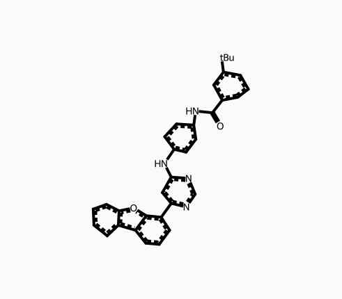 CC(C)(C)c1cccc(C(=O)Nc2ccc(Nc3cc(-c4cccc5c4oc4ccccc45)ncn3)cc2)c1